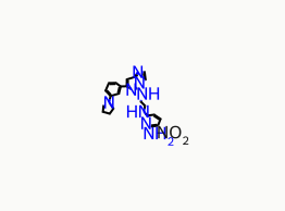 Nc1nc(NCCNc2nc(-c3cccc(N4CCCC4)c3)cc3nccn23)ccc1[N+](=O)[O-]